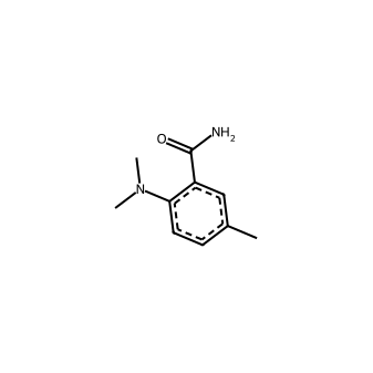 Cc1ccc(N(C)C)c(C(N)=O)c1